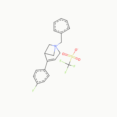 Fc1ccc(C2=CC[N+]3(Cc4ccccc4)CC2C3)cc1.O=S(=O)([O-])C(F)(F)F